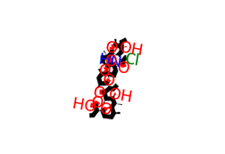 CCC(C(=O)[C@@H](C)[C@@H](O)[C@H](C)[C@@H]1O[C@@H](C(CC)C(=O)O)CC[C@@H]1C)[C@H]1O[C@]2(C=C[C@@H](NC(=O)CCl)[C@]3(CC[C@@](C)([C@H]4CC[C@](O)(CC)[C@H](C)O4)O3)O2)[C@H](C)C[C@@H]1C